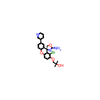 CC(C)(O)COc1ccc2c(c1Br)[C@]1(COC(N)=N1)c1cc(-c3cccnc3)ccc1O2